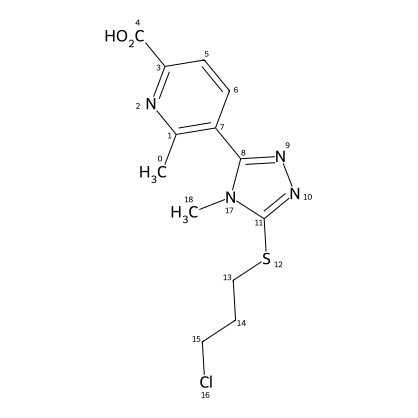 Cc1nc(C(=O)O)ccc1-c1nnc(SCCCCl)n1C